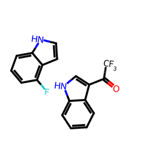 Fc1cccc2[nH]ccc12.O=C(c1c[nH]c2ccccc12)C(F)(F)F